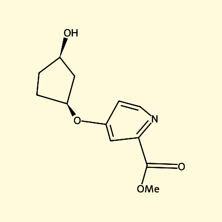 COC(=O)c1cc(O[C@H]2CC[C@@H](O)C2)ccn1